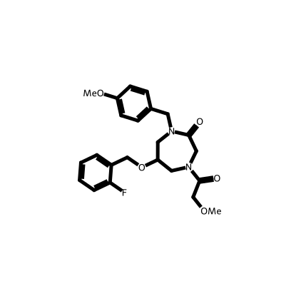 COCC(=O)N1CC(=O)N(Cc2ccc(OC)cc2)CC(OCc2ccccc2F)C1